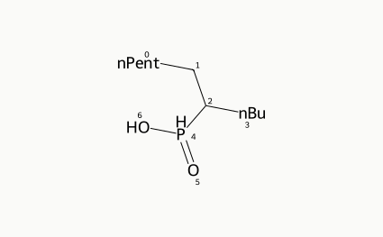 CCCCCCC(CCCC)[PH](=O)O